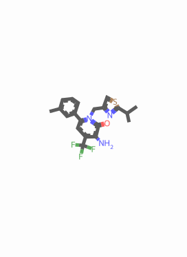 Cc1cccc(-c2cc(C(F)(F)F)c(N)c(=O)n2Cc2csc(C(C)C)n2)c1